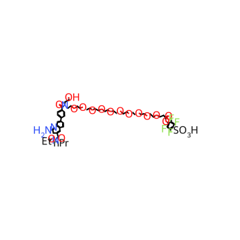 CCCN(OCC)C(=O)C1=Cc2ccc(-c3ccc(C(=O)N(CCO)CCOCCOCCOCCOCCOCCOCCOCCOCCOCCOCCC(=O)Oc4c(F)c(F)c(S(=O)(=O)O)c(F)c4F)cc3)cc2N=C(N)C1